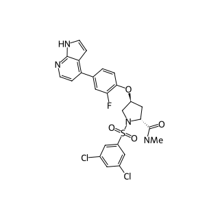 CNC(=O)[C@H]1C[C@H](Oc2ccc(-c3ccnc4[nH]ccc34)cc2F)CN1S(=O)(=O)c1cc(Cl)cc(Cl)c1